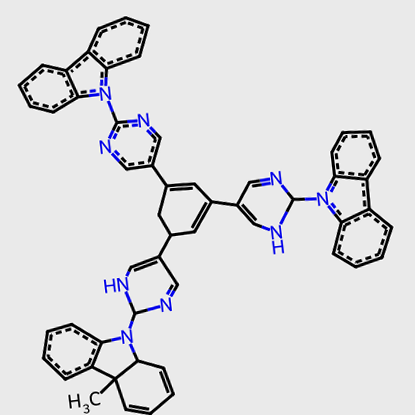 CC12C=CC=CC1N(C1N=CC(C3C=C(C4=CNC(n5c6ccccc6c6ccccc65)N=C4)C=C(c4cnc(-n5c6ccccc6c6ccccc65)nc4)C3)=CN1)c1ccccc12